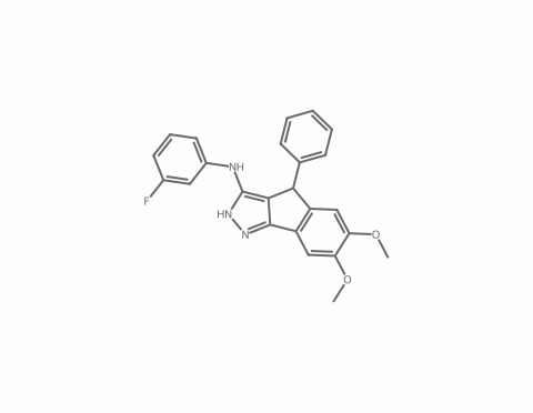 COc1cc2c(cc1OC)C(c1ccccc1)c1c-2n[nH]c1Nc1cccc(F)c1